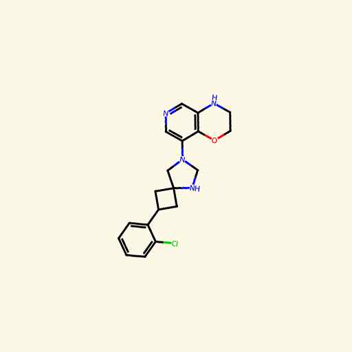 Clc1ccccc1C1CC2(C1)CN(c1cncc3c1OCCN3)CN2